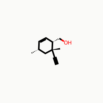 C#C[C@]1(C)C[C@H](C)C=C[C@@H]1CO